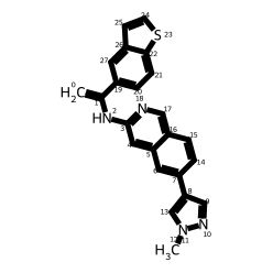 C=C(Nc1cc2cc(-c3cnn(C)c3)ccc2cn1)c1ccc2sccc2c1